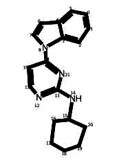 c1ccc2c(c1)ccn2-c1ccnc(NC2CCCCC2)n1